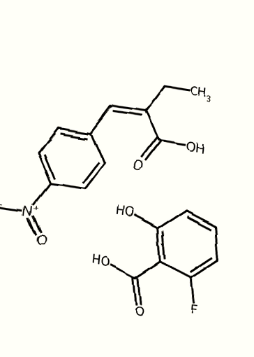 CCC(=Cc1ccc([N+](=O)[O-])cc1)C(=O)O.O=C(O)c1c(O)cccc1F